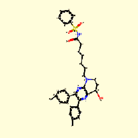 Cc1ccc(-c2nc3c(nc2-c2ccc(C)cc2)N(CCCCCCC(=O)NS(=O)(=O)c2ccccc2)CCC3O)cc1